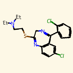 CCN(CC)CCSC1=Nc2ccc(Cl)cc2C(c2ccccc2Cl)=NC1